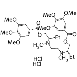 CC[C@H](COC(=O)c1cc(OC)c(OC)c(OC)c1)N(C)CCN(C)[C@H](CC)COC(=O)c1cc(OC)c(OC)c(OC)c1.Cl.Cl